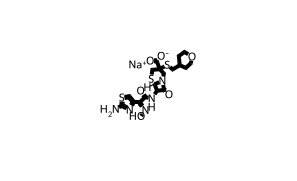 Nc1nc(C(=NO)C(=O)NC2C(=O)N3CC(SCC4CCOCC4)(C(=O)[O-])CS[C@H]23)cs1.[Na+]